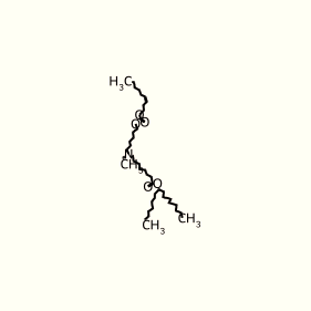 CCCCC/C=C\CCOC(=O)OCCCCCCN(CC)CCCCCCCC(=O)OC(CCCCCCCC)CCCCCCCC